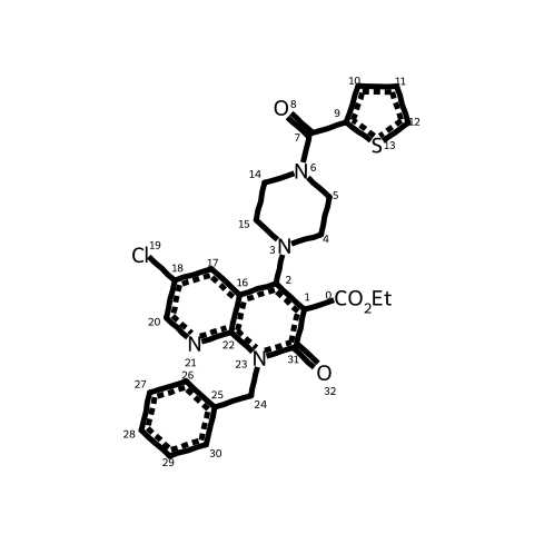 CCOC(=O)c1c(N2CCN(C(=O)c3cccs3)CC2)c2cc(Cl)cnc2n(Cc2ccccc2)c1=O